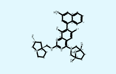 Nc1cc(-c2c(F)cc3c(N4C[C@H]5CC[C@@H](C4)N5)nc(OC[C@@]45CCCN4C[C@H](F)C5)nc3c2F)c2ccccc2c1